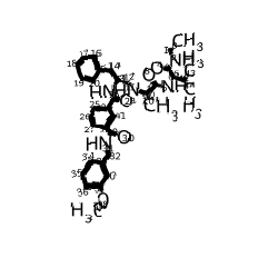 CCNC(=O)[C@@H](NC(=O)[C@H](C)NC[C@H](Cc1ccccc1)NC(=O)c1cccc(C(=O)NCc2cccc(OC)c2)c1)C(C)C